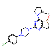 CC[C@@H]1CCCN1c1nc(N2CCN(c3ccc(Cl)cc3)CC2)nc2c1[S+]([O-])CC2